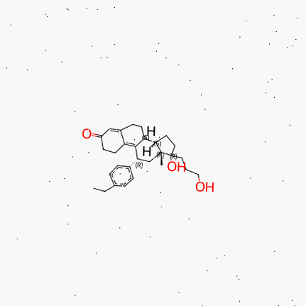 CCc1ccc([C@H]2C[C@]3(C)[C@@H](CC[C@@]3(O)CCCO)[C@@H]3CCC4=CC(=O)CCC4=C32)cc1